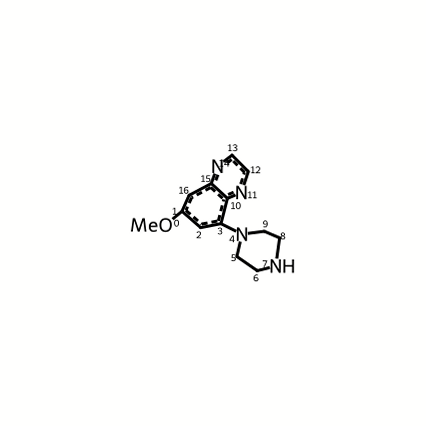 COc1cc(N2CCNCC2)c2nccnc2c1